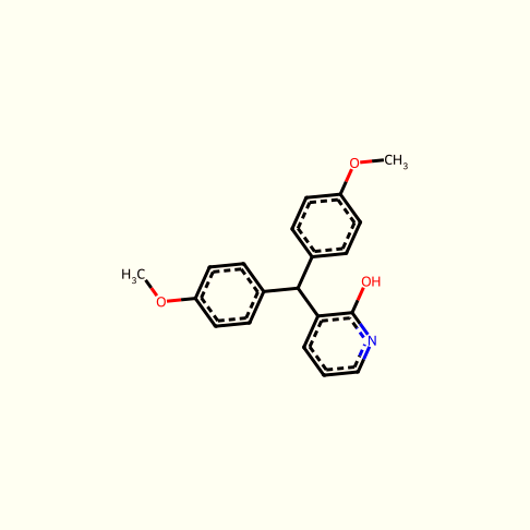 COc1ccc(C(c2ccc(OC)cc2)c2cccnc2O)cc1